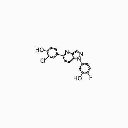 Oc1cc(-n2ncc3nc(-c4ccc(O)c(Cl)c4)ccc32)ccc1F